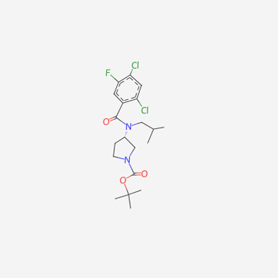 CC(C)CN(C(=O)c1cc(F)c(Cl)cc1Cl)[C@H]1CCN(C(=O)OC(C)(C)C)C1